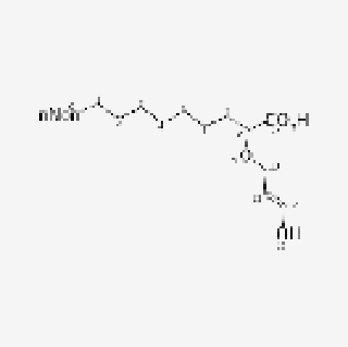 CCCCCCCCCCCCCCCCC(OCC=CO)C(=O)O